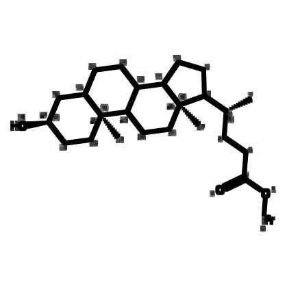 CC(C)OC(=O)CC[C@@H](C)C1CCC2C3CCC4C[C@H](O)CC[C@]4(C)C3CC[C@@]21C